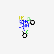 Sc1nnc(NNN=Cc2ccccc2Cl)n1N=Cc1ccccc1Cl